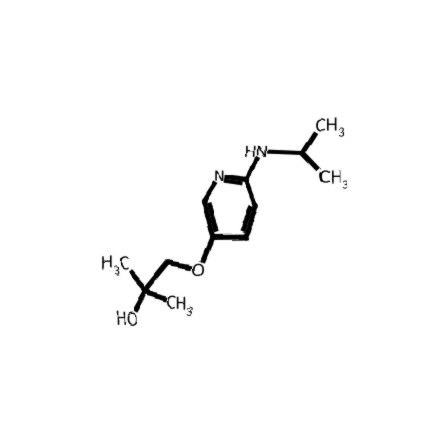 CC(C)Nc1ccc(OCC(C)(C)O)cn1